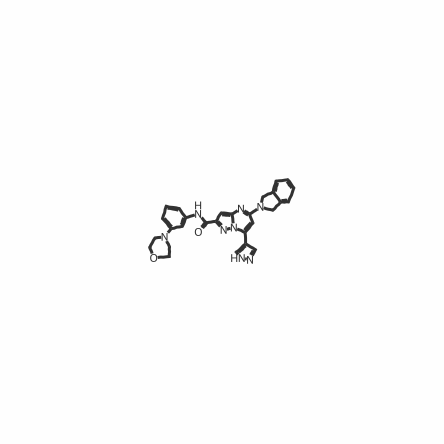 O=C(Nc1cccc(N2CCOCC2)c1)c1cc2nc(N3Cc4ccccc4C3)cc(-c3cn[nH]c3)n2n1